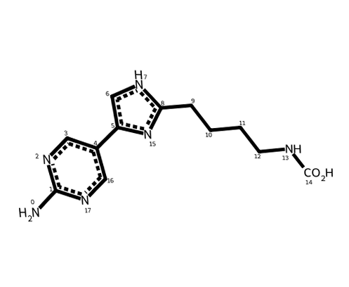 Nc1ncc(-c2c[nH]c(CCCCNC(=O)O)n2)cn1